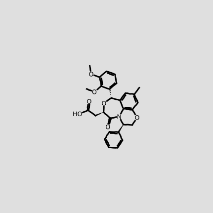 COc1cccc([C@H]2O[C@H](CC(=O)O)C(=O)N3c4c(cc(C)cc42)OC[C@H]3c2ccccc2)c1OC